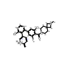 C=C(N)/C=C\C(=C/N)c1c(CC)ncnc1-c1cc(F)c(C(=O)N2CCC3(CC2)CN(C)C3)c(Cl)c1